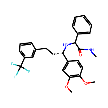 CNC(=O)C(N[C@@H](CCc1cccc(C(F)(F)F)c1)c1ccc(OC)c(OC)c1)c1ccccc1